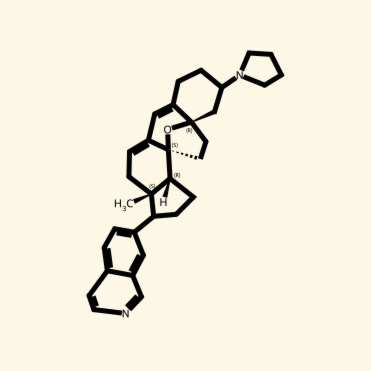 C[C@@]12CC=C3C=C4CCC(N5CCCC5)C[C@]45CC[C@]3(O5)[C@@H]1CCC2c1ccc2ccncc2c1